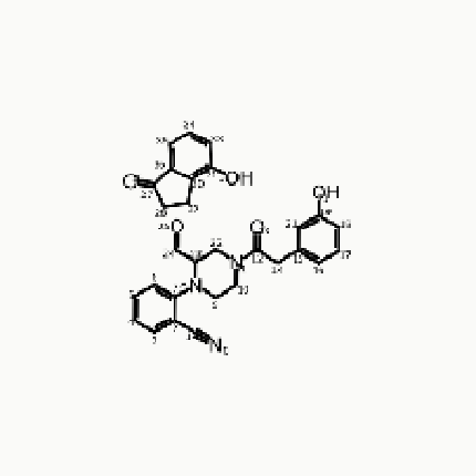 N#Cc1ccccc1N1CCN(C(=O)Cc2cccc(O)c2)CC1C=O.O=C1CCc2c(O)cccc21